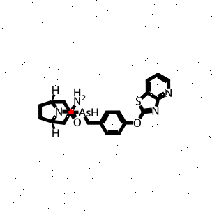 NC(=O)N1[C@@H]2CC[C@H]1CC([AsH]Cc1ccc(Oc3nc4ncccc4s3)cc1)C2